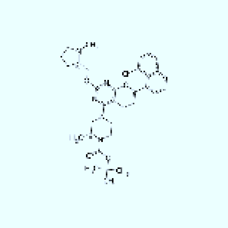 C[C@@H]1CN(c2nc(OC[C@@H]3CCCN3C)nc3c2CC=C(c2cccc4cccc(Cl)c24)O3)CCN1C(=O)OC(C)(C)C